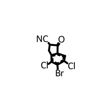 N#CC1Cc2c(cc(Cl)c(Br)c2Cl)C1=O